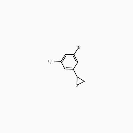 FC(F)(F)c1cc(Br)cc(C2CO2)c1